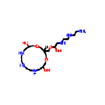 CCC1(COC(O)CNCCNCCN)COCC(O)CNCCNCCNCC(O)COC1